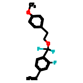 CCCCCc1ccc(C(F)(F)OCCc2ccc(OC(F)(F)F)cc2)c(F)c1